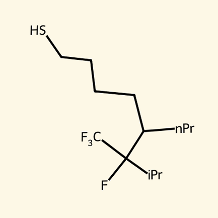 CCCC(CCCCS)C(F)(C(C)C)C(F)(F)F